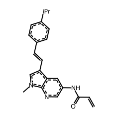 C=CC(=O)Nc1cnc2c(c1)c(/C=C/c1ccc(C(C)C)cc1)cn2C